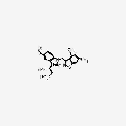 CCC[C@@H](CC(=O)O)n1c(=O)n(Cc2nsc3cc(C)cc(C)c23)c2ccc(OCC)cc21